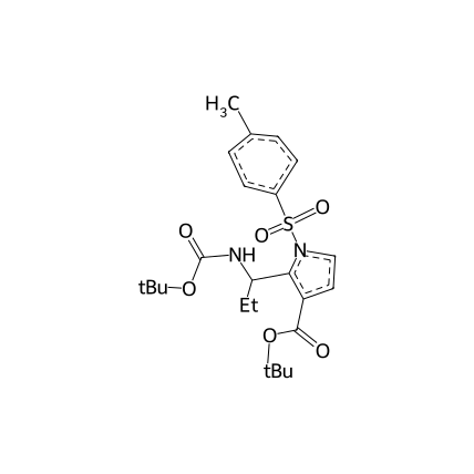 CCC(NC(=O)OC(C)(C)C)c1c(C(=O)OC(C)(C)C)ccn1S(=O)(=O)c1ccc(C)cc1